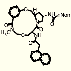 CCCCCCCCCC(=O)N[C@H]1C[C@H]2COc3cccc(c3)C(=O)N(C)CCC[C@H](NC(=O)Cc3cccc4ccccc34)C(=O)N2C1